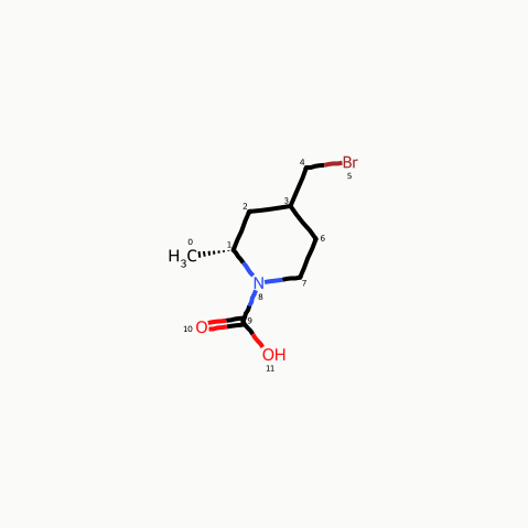 C[C@@H]1CC(CBr)CCN1C(=O)O